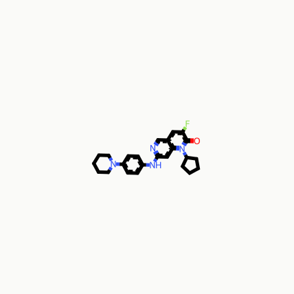 O=c1c(F)cc2cnc(Nc3ccc(N4CCCCC4)cc3)cc2n1C1CCCC1